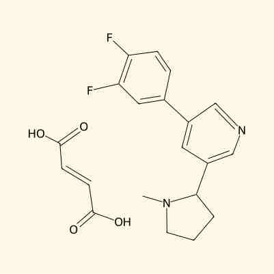 CN1CCCC1c1cncc(-c2ccc(F)c(F)c2)c1.O=C(O)C=CC(=O)O